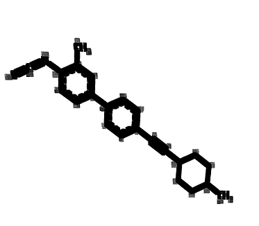 Cc1cc(-c2ccc(C#CC3CCC(C)CC3)cc2)ccc1N=C=S